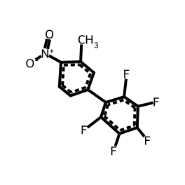 Cc1cc(-c2c(F)c(F)c(F)c(F)c2F)ccc1[N+](=O)[O-]